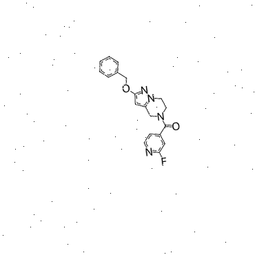 O=C(c1ccnc(F)c1)N1CCn2nc(OCc3ccccc3)cc2C1